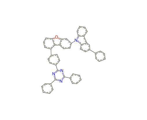 c1ccc(-c2ccc3c(c2)c2ccccc2n3-c2ccc3c(c2)oc2cccc(-c4ccc(-c5nc(-c6ccccc6)nc(-c6ccccc6)n5)cc4)c23)cc1